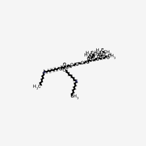 CCCCCCCC/C=C\CCCCCCCCOCC(OCCCCCCCC/C=C\CCCCCCCC)C(=O)OCCOCCOCCOCCOC(=O)CN(CCOC(=O)CN(CCOC)C(=O)OC(C)(C)C)C(=O)OC(C)(C)C